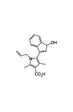 C=CCn1c(C)c(C(=O)O)c(C)c1C1=CC(O)c2ccccc21